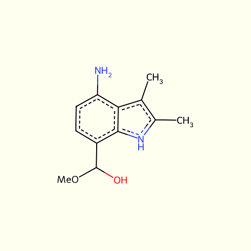 COC(O)c1ccc(N)c2c(C)c(C)[nH]c12